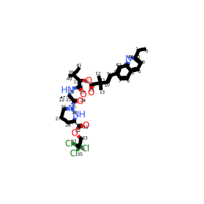 CCc1ccc2ccc(/C=C/C(C)(C)C(=O)OC(C(=O)N[C@@H](C)C(=O)N3CCC[C@@H](C(=O)OCC(Cl)(Cl)Cl)N3)C(C)C)cc2n1